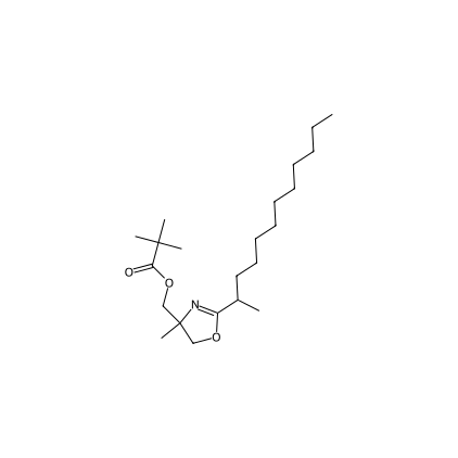 CCCCCCCCCCC(C)C1=NC(C)(COC(=O)C(C)(C)C)CO1